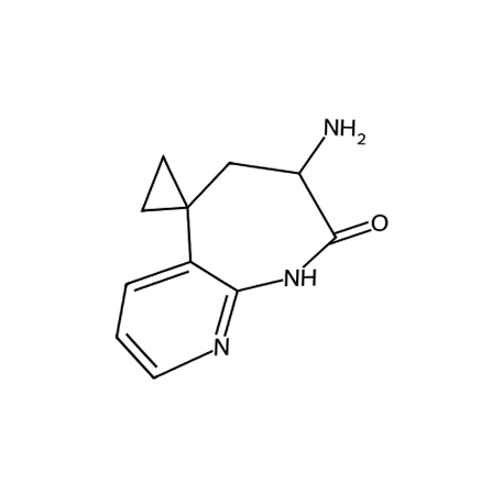 NC1CC2(CC2)c2cccnc2NC1=O